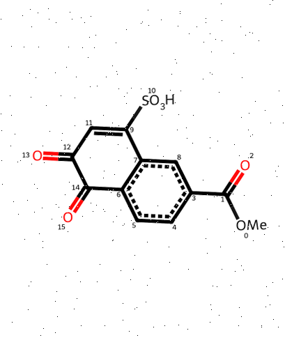 COC(=O)c1ccc2c(c1)C(S(=O)(=O)O)=CC(=O)C2=O